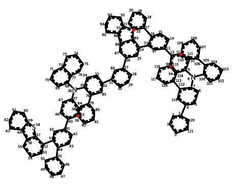 c1ccc(-c2ccc(N(c3ccc(-c4ccc(-c5ccccc5)c(-c5cc(-c6cccc(-c7ccc(N(c8ccc(-c9ccc(-c%10ccccc%10)c(-c%10cccc%11c%10sc%10ccccc%10%11)c9)cc8)c8cccc9ccccc89)c(-c8ccccc8)c7)c6)cc6c5sc5ccccc56)c4)cc3)c3ccccc3-c3ccccc3)c(-c3ccccc3)c2)cc1